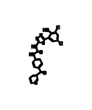 O=C(Nc1ccc(C(=O)c2cccnc2)cc1)Nc1nnc(-c2cc(Cl)cc(Cl)c2O)s1